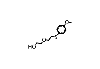 COc1ccc(SCCOCCO)cc1